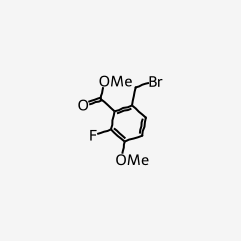 COC(=O)c1c(CBr)ccc(OC)c1F